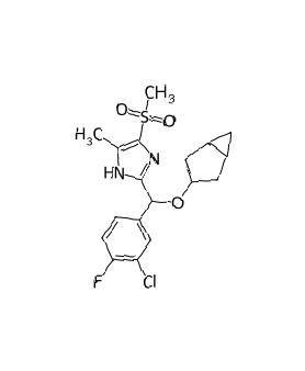 Cc1[nH]c(C(OC2CC3CC3C2)c2ccc(F)c(Cl)c2)nc1S(C)(=O)=O